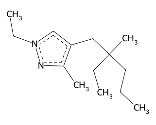 CCCC(C)(CC)Cc1cn(CC)nc1C